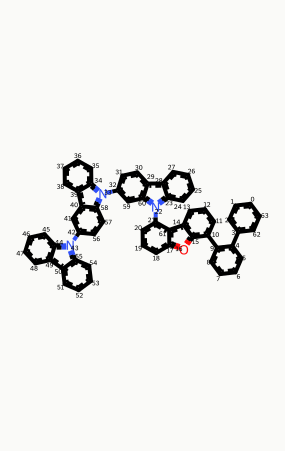 c1ccc(-c2ccccc2-c2cccc3c2oc2cccc(-n4c5ccccc5c5ccc(-n6c7ccccc7c7cc(-n8c9ccccc9c9ccccc98)ccc76)cc54)c23)cc1